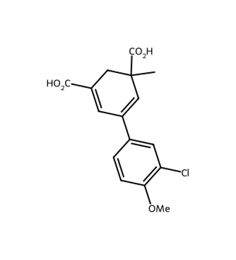 COc1ccc(C2=CC(C)(C(=O)O)CC(C(=O)O)=C2)cc1Cl